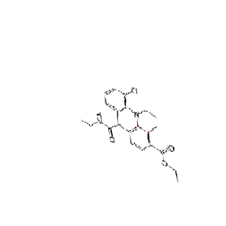 CCNC(=O)C(c1ccc(C(=O)OCC)cc1)c1cccc(Cl)c1N1CCCCC1